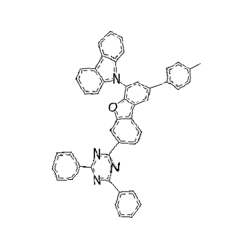 Cc1ccc(-c2cc(-n3c4ccccc4c4ccccc43)c3oc4cc(-c5nc(-c6ccccc6)nc(-c6ccccc6)n5)ccc4c3c2)cc1